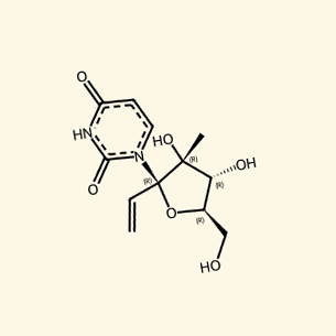 C=C[C@@]1(n2ccc(=O)[nH]c2=O)O[C@H](CO)[C@@H](O)[C@@]1(C)O